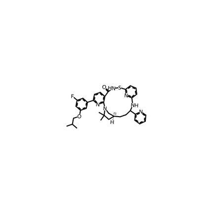 CC(C)COc1cc(F)cc(-c2ccc3c(n2)N2C[C@@H](CCC(c4ccccn4)Nc4cccc(n4)SNC3=O)CC2(C)C)c1